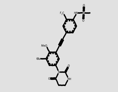 COc1c(C#Cc2ccc(NS(C)(=O)=O)c(C(F)(F)F)c2)cc(N2C(=O)CCNC2=O)cc1C(C)(C)C